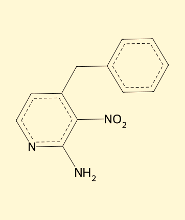 Nc1nccc(Cc2ccccc2)c1[N+](=O)[O-]